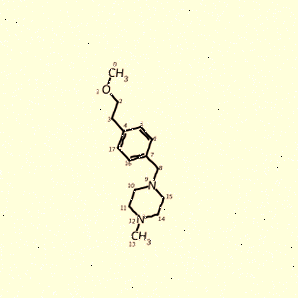 COCCc1ccc(CN2CCN(C)CC2)cc1